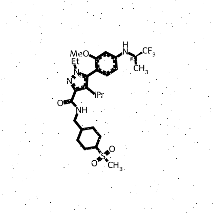 CCn1nc(C(=O)NCC2CCC(S(C)(=O)=O)CC2)c(C(C)C)c1-c1ccc(N[C@H](C)C(F)(F)F)cc1OC